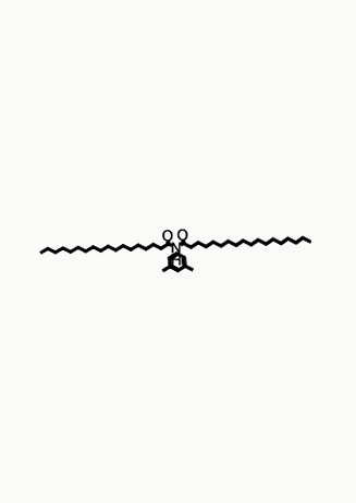 CCCCCCCCCCCCCCCCCC(=O)NC(=O)CCCCCCCCCCCCCCCCC.Cc1cccc(C)c1